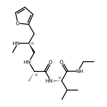 CCNC(=O)[C@@H](NC(=O)[C@H](C)NC[C@H](Cc1ccco1)NC)C(C)C